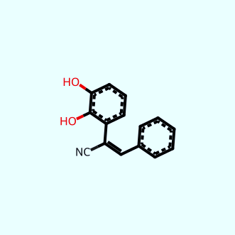 N#CC(=Cc1ccccc1)c1cccc(O)c1O